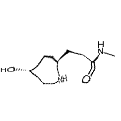 CNC(=O)C[C@@H]1C[C@@H](O)CN1